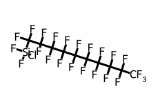 FC(F)(F)C(F)(F)C(F)(F)C(F)(F)C(F)(F)C(F)(F)C(F)(F)C(F)(F)C(F)(F)C(F)(F)[Si](F)(F)Cl